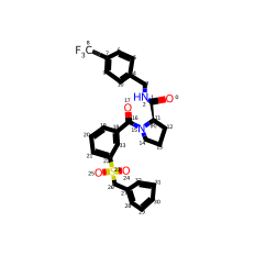 O=C(NCc1ccc(C(F)(F)F)cc1)[C@H]1CCCN1C(=O)c1cccc(S(=O)(=O)Cc2ccccc2)c1